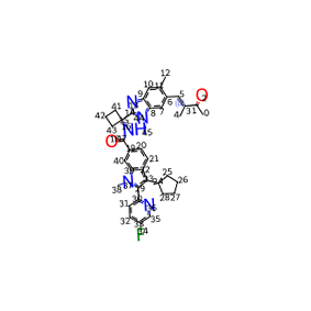 CC(=O)/C(C)=C/c1cc2c(cc1C)nc(C1(NC(=O)c3ccc4c(C5CCCC5)c(-c5ccc(F)cn5)n(C)c4c3)CCC1)n2C